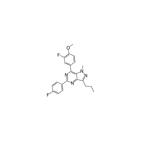 CCCc1nn(C)c2c(-c3ccc(OC)c(F)c3)nc(-c3ccc(F)cc3)nc12